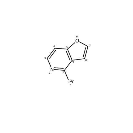 CC(C)c1nccc2occc12